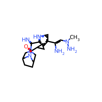 CN(N)/C=C(\N)c1c[nH]c(C(=N)N2CC3CCC(C2)N3C(=O)C2CC2)c1